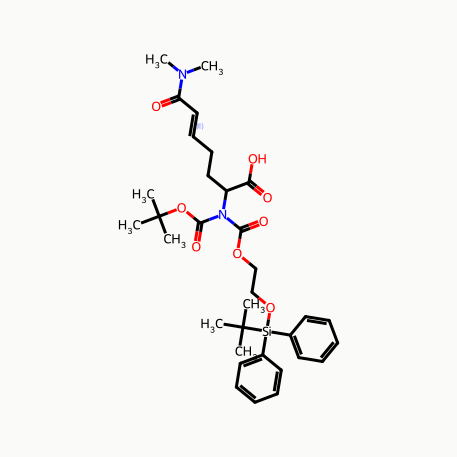 CN(C)C(=O)/C=C/CCC(C(=O)O)N(C(=O)OCCO[Si](c1ccccc1)(c1ccccc1)C(C)(C)C)C(=O)OC(C)(C)C